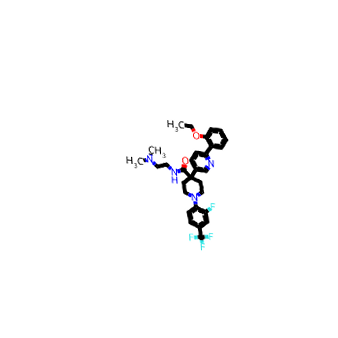 CCOc1ccccc1-c1ccc(C2(C(=O)NCCN(C)C)CCN(c3ccc(C(F)(F)F)cc3F)CC2)cn1